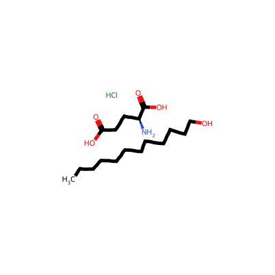 CCCCCCCCCCCCO.Cl.N[C@@H](CCC(=O)O)C(=O)O